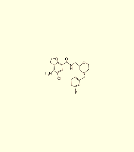 Nc1c(Cl)cc(C(=O)NCC2CN(Cc3cccc(F)c3)CCO2)c2c1CCO2